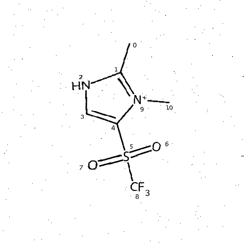 Cc1[nH]cc(S(=O)(=O)C(F)(F)F)[n+]1C